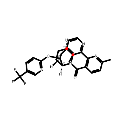 Cc1ccc(C(=O)N2C[C@@H]3CC[C@H]2[C@H](Oc2ccc(C(F)(F)F)cn2)C3)c(-c2ncccc2C)n1